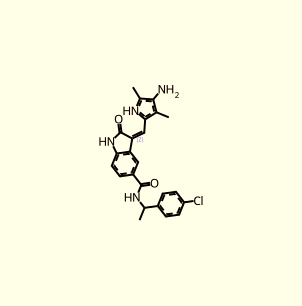 Cc1[nH]c(/C=C2\C(=O)Nc3ccc(C(=O)NC(C)c4ccc(Cl)cc4)cc32)c(C)c1N